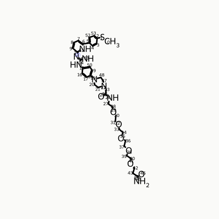 CSc1ccc(-c2ccc/c(=N/C(=N)Nc3ccc(N4CCN(CC(=O)NCCOCCOCCOCCOCCOCCC(N)=O)CC4)cc3)[nH]2)cc1